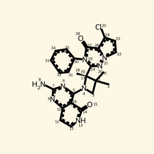 CC1(C)CN(c2nc(N)nc3cc[nH]c(=O)c23)[C@]1(C)c1nn2ccc(Cl)c2c(=O)n1-c1ccccc1